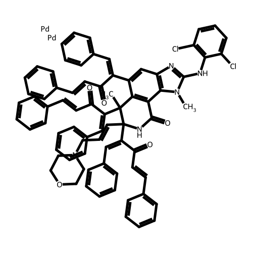 Cn1c(Nc2c(Cl)cccc2Cl)nc2cc(C(=Cc3ccccc3)C(=O)C=Cc3ccccc3)c3c(c21)C(=O)NC(C=CCN1CCOCC1)(C(=Cc1ccccc1)C(=O)C=Cc1ccccc1)C3(C)C(=Cc1ccccc1)C(=O)C=Cc1ccccc1.[Pd].[Pd]